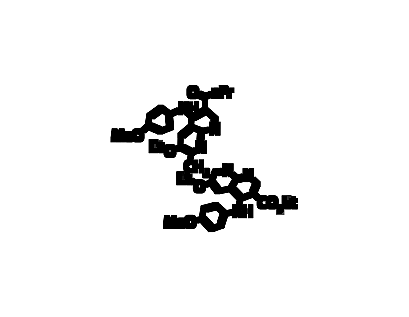 CCCC(=O)c1cnc2nc(C)c(OCC)cc2c1Nc1ccc(OC)cc1.CCOC(=O)c1cnc2ncc(OCC)cc2c1Nc1ccc(OC)cc1